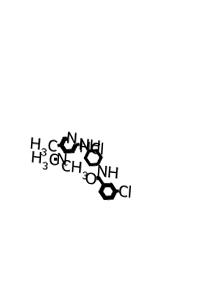 Cc1cnc(NC2CCC(NC(=O)c3cccc(Cl)c3)CC2)cc1N(C)C.Cl